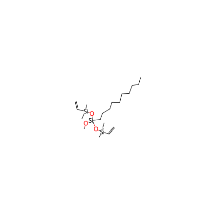 C=C[Si](C)(C)O[Si](CCCCCCCCCC)(OC)O[Si](C)(C)C=C